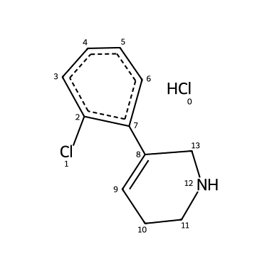 Cl.Clc1ccccc1C1=CCCNC1